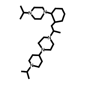 CC(C)N1CCC(N2CCN(C(C)CC3CCCCC3N3CCN(C(C)C)CC3)CC2)CC1